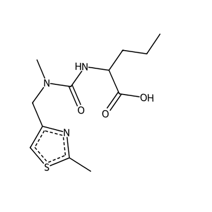 CCCC(NC(=O)N(C)Cc1csc(C)n1)C(=O)O